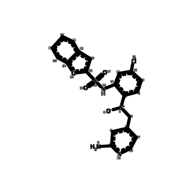 Nc1cc(C[S+]([O-])c2ccc(Cl)cc2NS(=O)(=O)c2cc3ccccc3o2)ccn1